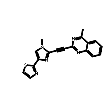 Cc1nc(C#Cc2nc(-c3nccs3)cn2C)nc2ccccc12